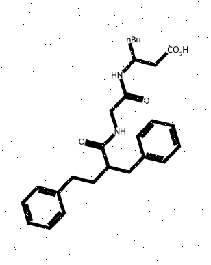 CCCCC(CC(=O)O)NC(=O)CNC(=O)C(CCc1ccccc1)Cc1ccccc1